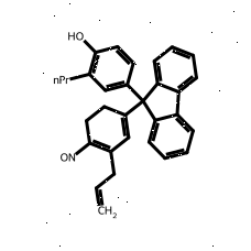 C=CCC1=C(N=O)CCC(C2(c3ccc(O)c(CCC)c3)c3ccccc3-c3ccccc32)=C1